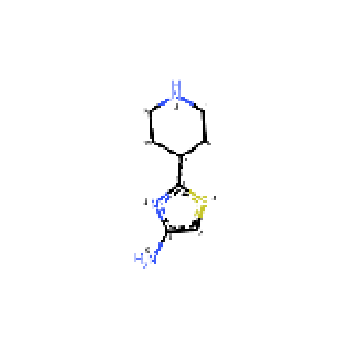 Nc1csc(C2CCNCC2)n1